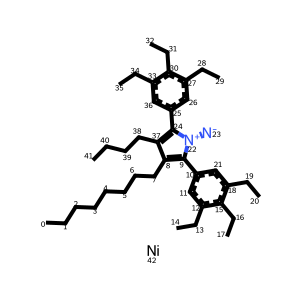 CCCCCCCCC1=C(c2cc(CC)c(CC)c(CC)c2)[N+](=[N-])C(c2cc(CC)c(CC)c(CC)c2)=C1CCCC.[Ni]